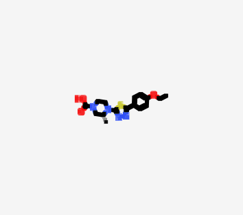 CCOc1ccc(-c2nnc(N3CCN(C(=O)O)C[C@H]3C)s2)cc1